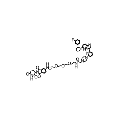 O=C(CN1CCN(c2cccc(-c3cnc4ccc(N5CCC[C@@H]5c5cccc(F)c5)nn34)n2)CC1)NCCOCCOCCOCCONc1ccc2c(c1)C(=O)N(C1CCC(=O)NC1=O)C2=O